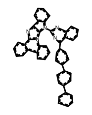 c1ccc(-c2ccc(-c3ccc(-c4nc(-n5c6ccccc6c6nc7c8ccccc8c8ccccc8n7c65)nc5ccccc45)cc3)cc2)cc1